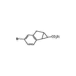 CCOC(=O)C1C2Cc3cc(Br)ccc3C21